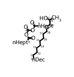 CCCCCCCC(=O)OC(=O)OC(=O)CCCCCCC.CCCCCCCCCCCCCCCCCCOCC(C)O